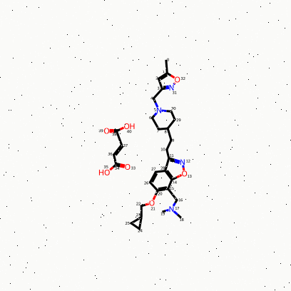 Cc1cc(CN2CCC(CCc3noc4c(CN(C)C)c(OCC5CC5)ccc34)CC2)no1.O=C(O)/C=C/C(=O)O